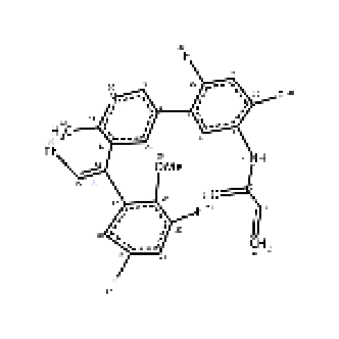 C=CC(=O)Nc1cc(-c2cnc(C)c(/C(=C\CC)c3cc(F)cc(F)c3OC)c2)c(F)cc1F